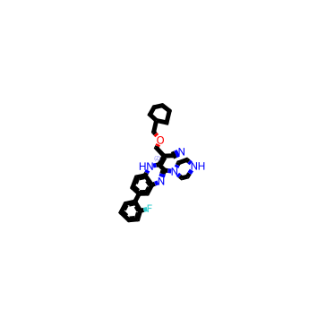 N#C/C(COCC1CCCCC1)=C1/Nc2ccc(-c3ccccc3F)cc2N=C1N1CCNCC1